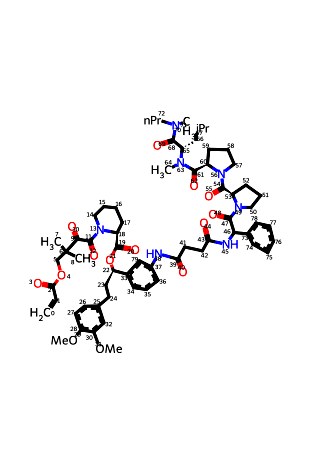 C=CC(=O)OCC(C)(C)C(=O)C(=O)N1CCCC[C@H]1C(=O)O[C@H](CCc1ccc(OC)c(OC)c1)c1cccc(NC(=O)CCC(=O)NC(C(=O)N2CCC[C@@H]2C(=O)N2CCC[C@@H]2C(=O)N(C)[C@@H](CC(C)C)C(=O)N(C)CCC)c2ccccc2)c1